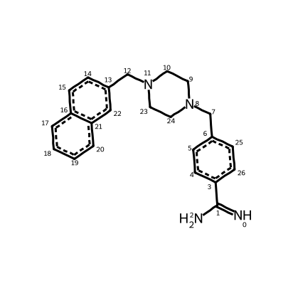 N=C(N)c1ccc(CN2CCN(Cc3ccc4ccccc4c3)CC2)cc1